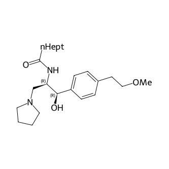 CCCCCCCC(=O)N[C@H](CN1CCCC1)[C@H](O)c1ccc(CCOC)cc1